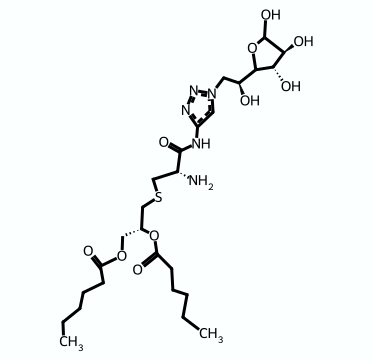 CCCCCC(=O)OC[C@H](CSC[C@@H](N)C(=O)Nc1cn(C[C@H](O)C2OC(O)[C@@H](O)[C@@H]2O)nn1)OC(=O)CCCCC